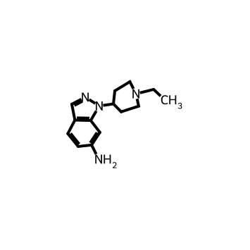 CCN1CCC(n2ncc3ccc(N)cc32)CC1